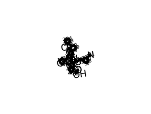 COc1nc(OCC2(OCCCN3CCOCC3)C=CC=C(c3ccccc3)C2(C)Cl)nc(OCc2cccc(C#N)c2)c1CN1CCC[C@H]1C(=O)O